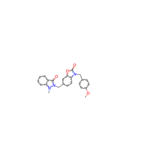 COc1ccc(Cn2c(=O)oc3cc(Cn4c(=O)c5ccccc5n4C)ccc32)cc1